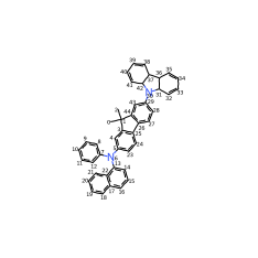 CC1(C)c2cc(N(c3ccccc3)c3cccc4ccccc34)ccc2-c2ccc(N3C4C=CC=CC4C4C=CC=CC43)cc21